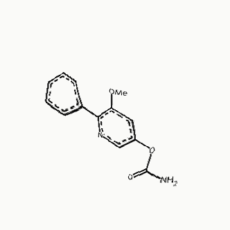 COc1cc(OC(N)=O)cnc1-c1ccccc1